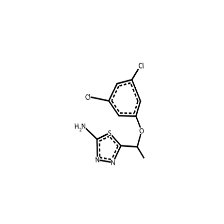 CC(Oc1cc(Cl)cc(Cl)c1)c1nnc(N)s1